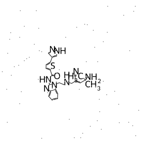 CC(C)(N)C=C(C#N)CNCCn1c(NC(=O)c2ccc(-c3cn[nH]c3)s2)nc2ccccc21